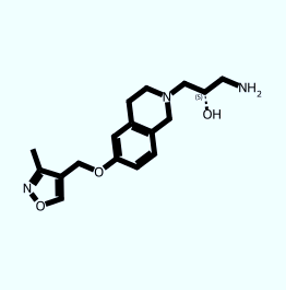 Cc1nocc1COc1ccc2c(c1)CCN(C[C@@H](O)CN)C2